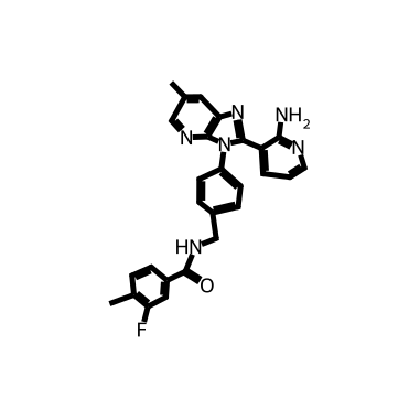 Cc1cnc2c(c1)nc(-c1cccnc1N)n2-c1ccc(CNC(=O)c2ccc(C)c(F)c2)cc1